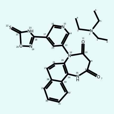 CCN(CC)CC.O=C1CC(=O)N(c2cncc(-c3noc(=S)[nH]3)c2)c2ccc3ccccc3c2N1